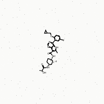 Cc1[nH]c2c(-c3cc(F)ccc3OCC3CC3)ncnc2c1C(=O)N[C@@H]1CC[C@H](NC(=O)[C@H](C)O)C[C@H]1F